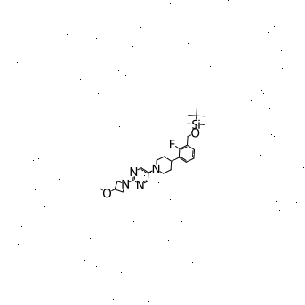 COC1CN(c2ncc(N3CCC(c4cccc(CO[Si](C)(C)C(C)(C)C)c4F)CC3)cn2)C1